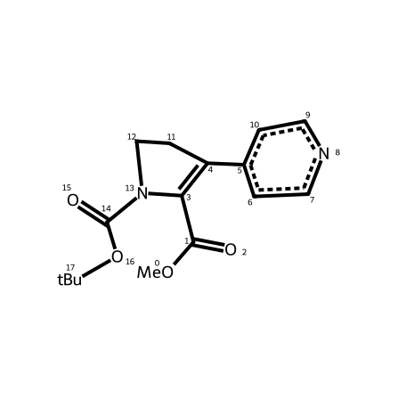 COC(=O)C1=C(c2ccncc2)CCN1C(=O)OC(C)(C)C